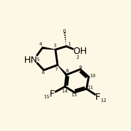 C[C@H](O)[C@@H]1CNC[C@@H]1c1ccc(F)cc1F